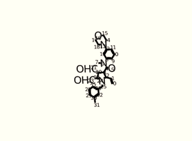 C=CC1C(C(=O)N(C)c2cccc(N3CCOCC3)c2)C(C=O)C(C=O)N1Cc1cccc(C)c1